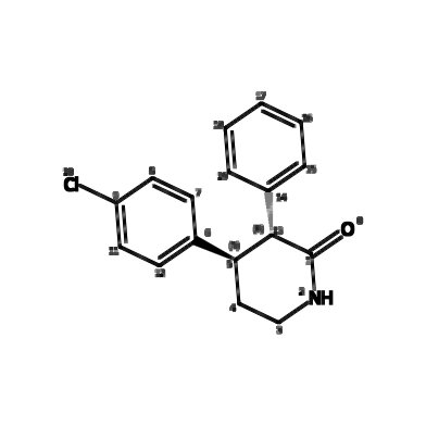 O=C1NCC[C@@H](c2ccc(Cl)cc2)[C@@H]1c1ccccc1